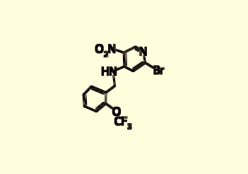 O=[N+]([O-])c1cnc(Br)cc1NCc1ccccc1OC(F)(F)F